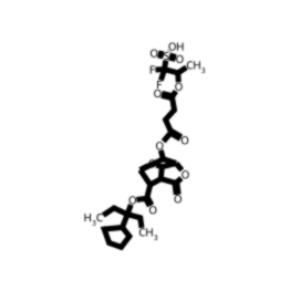 CCC(CC)(OC(=O)C1C2OC3C(OC(=O)C31)C2OC(=O)CCC(=O)OC(C)C(F)(F)S(=O)(=O)O)C1CCCC1